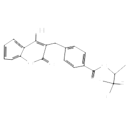 CC(OC(=O)c1ccc(Cc2c(O)c3ccccc3oc2=O)cc1)C(F)(F)C(F)(F)F